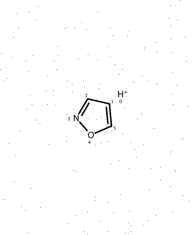 [H+].c1cnoc1